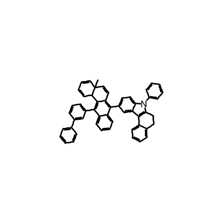 CC12C=CC=CC1c1c(c(-c3ccc4c(c3)c3c(n4-c4ccccc4)CCc4ccccc4-3)c3ccccc3c1-c1cccc(-c3ccccc3)c1)C=C2